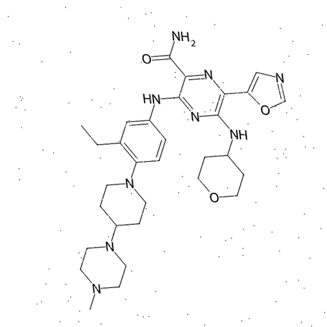 CCc1cc(Nc2nc(NC3CCOCC3)c(-c3cnco3)nc2C(N)=O)ccc1N1CCC(N2CCN(C)CC2)CC1